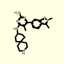 Cc1c(NC2CCC3(CCNCC3)CC2)nc(N)nc1-c1ccc2c(C)n(C)nc2c1